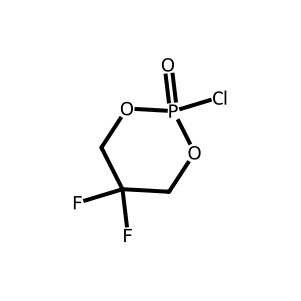 O=P1(Cl)OCC(F)(F)CO1